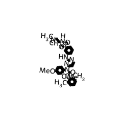 COc1ccc(N(C(=O)Oc2c(C)cccc2C)c2ccnc(Nc3cccc(S(=O)(=O)NCCN(C)C)c3)n2)c(OC)c1